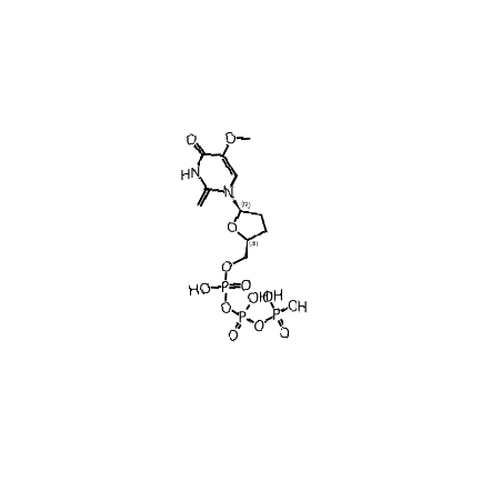 C=C1NC(=O)C(OC)=CN1[C@H]1CC[C@@H](COP(=O)(O)OP(=O)(O)OP(=O)(O)O)O1